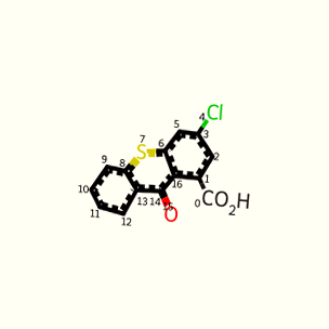 O=C(O)c1cc(Cl)cc2sc3ccccc3c(=O)c12